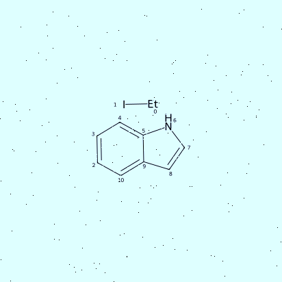 CCI.c1ccc2[nH]ccc2c1